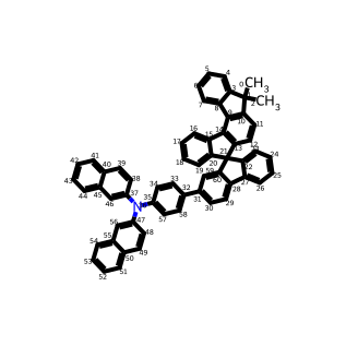 CC1(C)c2ccccc2-c2c1ccc1c2-c2ccccc2C12c1ccccc1-c1ccc(-c3ccc(N(c4ccc5ccccc5c4)c4ccc5ccccc5c4)cc3)cc12